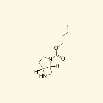 CCCCOC(=O)N1CC[C@H]2NC[C@H]21